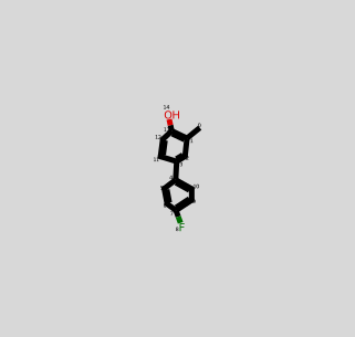 Cc1cc(-c2ccc(F)cc2)ccc1O